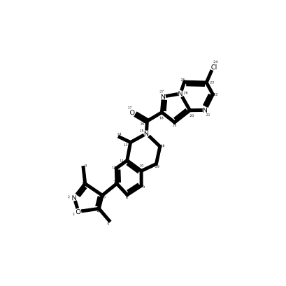 Cc1noc(C)c1-c1ccc2c(c1)C(C)N(C(=O)c1cc3ncc(Cl)cn3n1)CC2